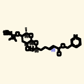 C[C@H](CC/C=C/C(=O)OCc1cccnc1)O[C@@H]1O[C@@H](C)C(O[Si](C)(C)C(C)(C)C)C[C@H]1O